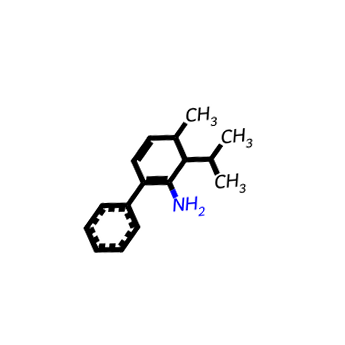 CC(C)C1C(N)=C(c2ccccc2)C=CC1C